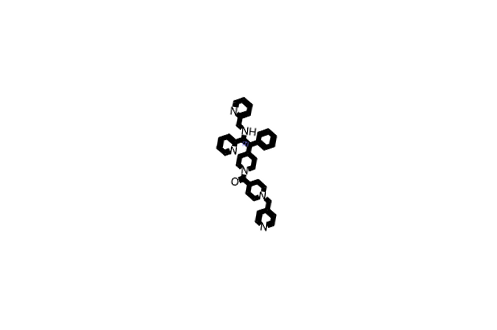 O=C(C1CCN(Cc2ccncc2)CC1)N1CCC(/C(=C(/NCc2ccccn2)c2ccccn2)c2ccccc2)CC1